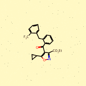 CCOC(=O)c1noc(C2CC2)c1C(=O)c1ccccc1Cc1ccccc1C(F)(F)F